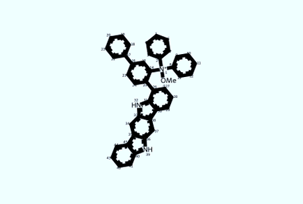 CO[N+](c1ccccc1)(c1ccccc1)c1cc(-c2ccccc2)ccc1-c1cccc2c1[nH]c1cc3c(cc12)[nH]c1ccccc13